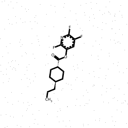 CCC[C@H]1CC[C@H](C(=O)Oc2cc(F)c(F)nc2F)CC1